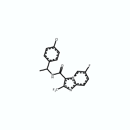 CC(NC(=O)c1c(C(F)(F)F)nc2ccc(F)cn12)c1ccc(Cl)cc1